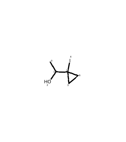 CC(O)C1(I)CC1